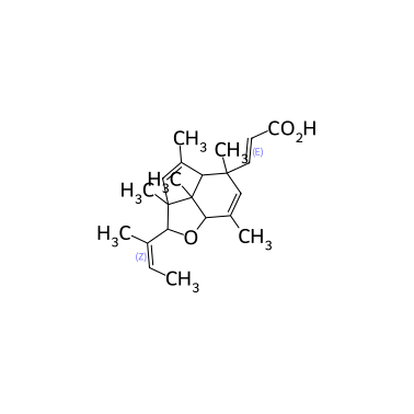 C/C=C(/C)C1OC2C(C)=CC(C)(/C=C/C(=O)O)C3C(C)=CC1(C)C23C